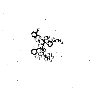 COc1cccc(-c2c(C)n(Cc3c(F)cccc3F)c(=O)n(C[C@H](NC(=O)OC(C)(C)C)C3CCCCC3)c2=O)c1F